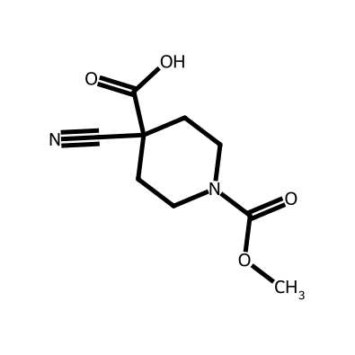 COC(=O)N1CCC(C#N)(C(=O)O)CC1